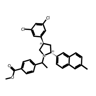 COC(=O)c1ccc(C(C)N2C[C@@H](c3cc(Cl)cc(Cl)c3)C[C@@H]2c2ccc3cc(C)ccc3c2)cc1